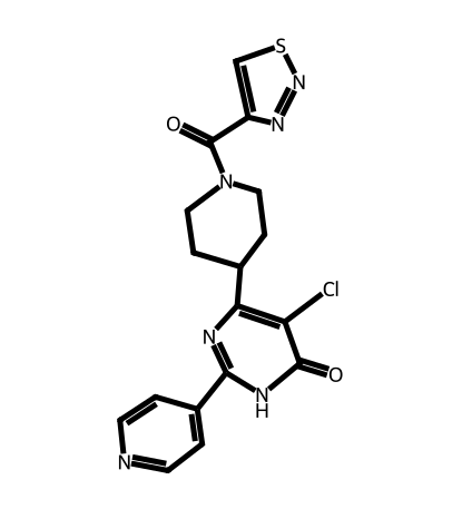 O=C(c1csnn1)N1CCC(c2nc(-c3ccncc3)[nH]c(=O)c2Cl)CC1